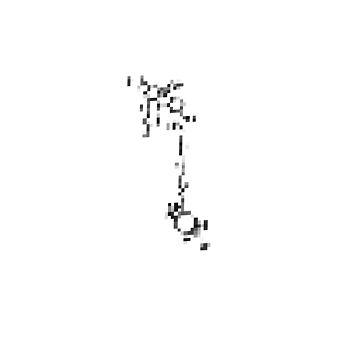 N=c1ccc2c(-c3cc(C(=O)NCCOCCOCCOCCn4nnc5c4CC[C@@H]4[C@H](CO)[C@@H]4CC5)ccc3C(=O)O)c3ccc(N)cc3oc-2c1